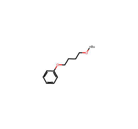 CCCCOCCCCOc1cc[c]cc1